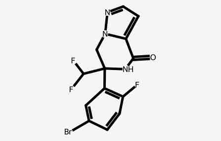 O=C1NC(c2cc(Br)ccc2F)(C(F)F)Cn2nccc21